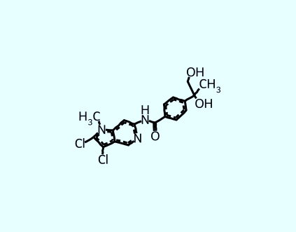 Cn1c(Cl)c(Cl)c2cnc(NC(=O)c3ccc(C(C)(O)CO)cc3)cc21